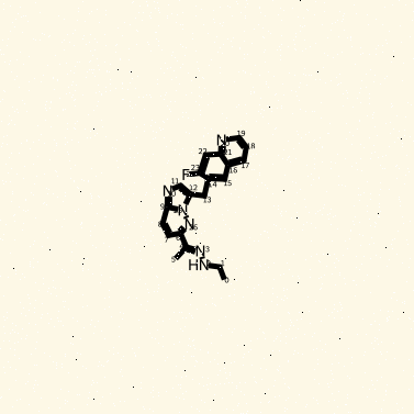 CCNN=C(C)c1ccc2ncc(Cc3cc4cccnc4cc3F)n2n1